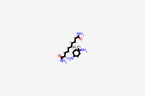 CC1(N)CCC(N)CC1.NC(=O)CCCCCCCCC(N)=O